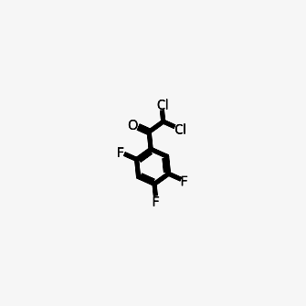 O=C(c1cc(F)c(F)cc1F)C(Cl)Cl